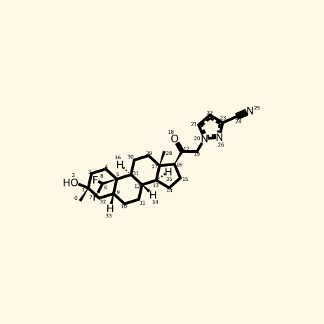 C[C@@]1(O)CC[C@@]2(C(F)F)[C@H](CC[C@H]3[C@@H]4CC[C@H](C(=O)Cn5ccc(C#N)n5)[C@@]4(C)CC[C@@H]32)C1